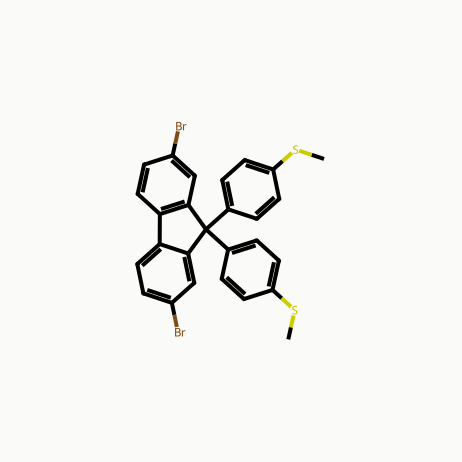 CSc1ccc(C2(c3ccc(SC)cc3)c3cc(Br)ccc3-c3ccc(Br)cc32)cc1